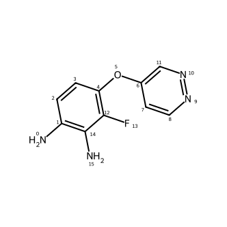 Nc1ccc(Oc2ccnnc2)c(F)c1N